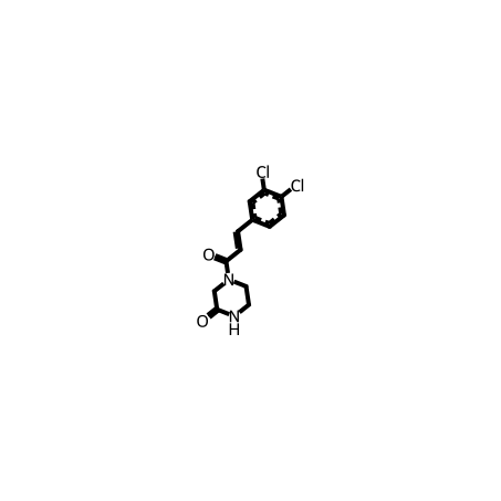 O=C1CN(C(=O)/C=C/c2ccc(Cl)c(Cl)c2)CCN1